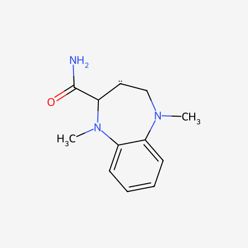 CN1C[C]C(C(N)=O)N(C)c2ccccc21